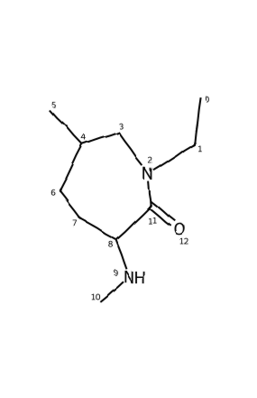 CCN1CC(C)CCC(NC)C1=O